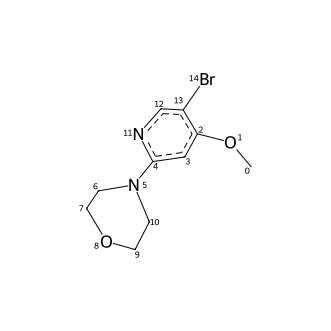 COc1cc(N2CCOCC2)ncc1Br